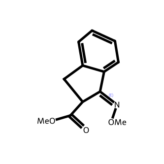 CO/N=C1/c2ccccc2CC1C(=O)OC